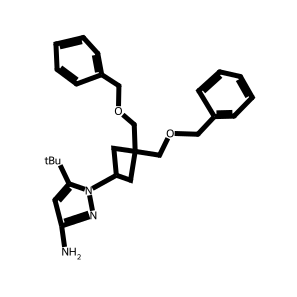 CC(C)(C)c1cc(N)nn1C1CC(COCc2ccccc2)(COCc2ccccc2)C1